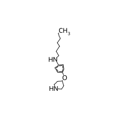 CCCCCCCNc1ccc(OC2CCNCC2)cc1